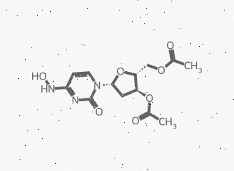 CC(=O)OC[C@H]1O[C@@H](n2ccc(NO)nc2=O)C[C@@H]1OC(C)=O